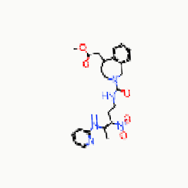 COC(=O)CC1CCN(C(=O)NCCC(C(C)Nc2ccccn2)[N+](=O)[O-])Cc2ccccc21